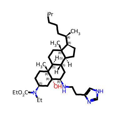 CCOC(=O)N(CC)[C@H]1CC[C@]2(C)[C@H]3CC[C@]4(C)[C@@H]([C@H](C)CCCC(C)C)CC[C@H]4[C@@H]3C[C@@H](NCCc3c[nH]cn3)[C@@]2(O)C1